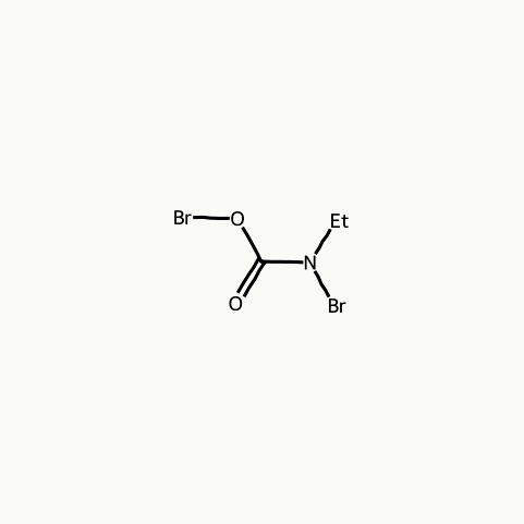 CCN(Br)C(=O)OBr